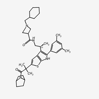 Cc1cc(C)cc(-c2[nH]c3sc(C(C)(C)C(=O)N4C5CCC4CC5)cc3c2[C@H](C)CNC(=O)C2CN(CC3CCCCC3)C2)c1